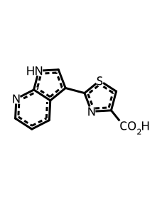 O=C(O)c1csc(-c2c[nH]c3ncccc23)n1